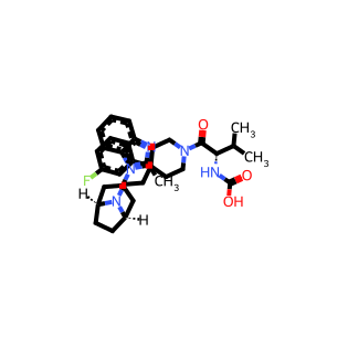 Cc1nc2ccccc2n1C1C[C@H]2CC[C@@H](C1)N2CCC1(c2cccc(F)c2)CCN(C(=O)[C@@H](NC(=O)O)C(C)C)CC1